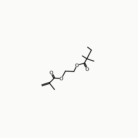 C=C(C)C(=O)OCCOC(=O)C(C)(C)CC